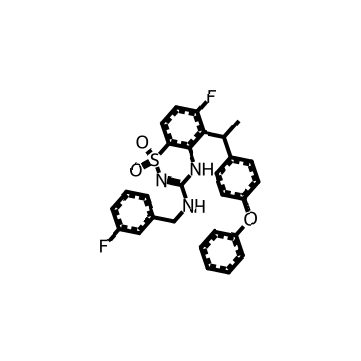 CC(c1ccc(Oc2ccccc2)cc1)c1c(F)ccc2c1NC(NCc1cccc(F)c1)=NS2(=O)=O